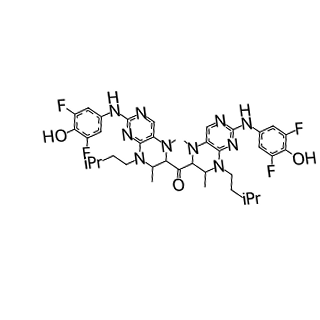 CC(C)CCN1c2nc(Nc3cc(F)c(O)c(F)c3)ncc2N(C)C(C(=O)C2C(C)N(CCC(C)C)c3nc(Nc4cc(F)c(O)c(F)c4)ncc3N2C)C1C